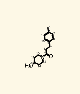 Cc1ccc(CCC(=O)N2CCC(O)CC2)cc1